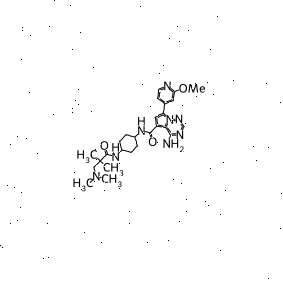 COc1cc(-c2cc(C(=O)NC3CCC(NC(=O)C(C)(C)CN(C)C)CC3)c3c(N)ncnn23)ccn1